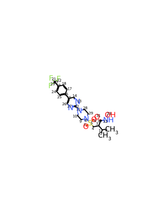 CC(C)C(CS(=O)(=O)N1CCN(c2ncc(-c3ccc(C(F)(F)F)cc3)cn2)CC1)C(=O)NO